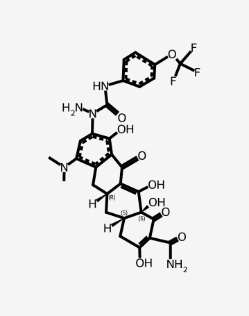 CN(C)c1cc(N(N)C(=O)Nc2ccc(OC(F)(F)F)cc2)c(O)c2c1C[C@H]1C[C@H]3CC(O)=C(C(N)=O)C(=O)[C@@]3(O)C(O)=C1C2=O